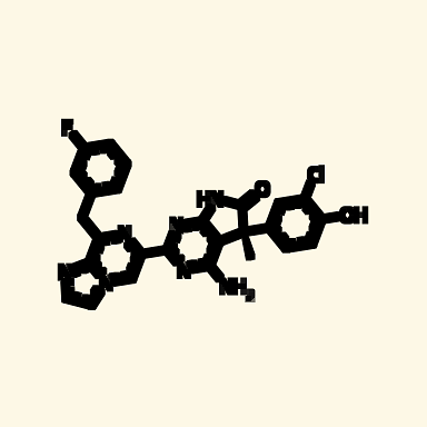 C[C@]1(c2ccc(O)c(Cl)c2)C(=O)Nc2nc(-c3cn4ccnc4c(Cc4cccc(F)c4)n3)nc(N)c21